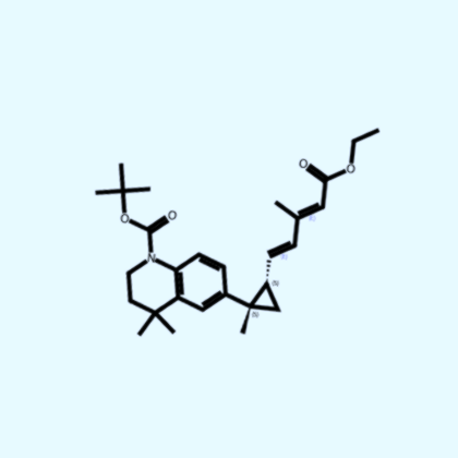 CCOC(=O)/C=C(C)/C=C/[C@@H]1C[C@]1(C)c1ccc2c(c1)C(C)(C)CCN2C(=O)OC(C)(C)C